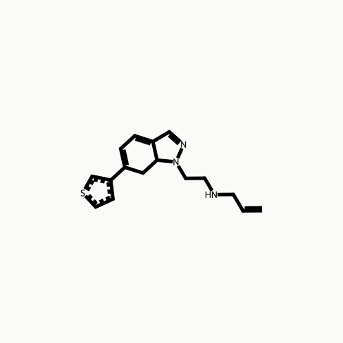 C=CCNCCN1N=CC2=CC=C(c3ccsc3)CC21